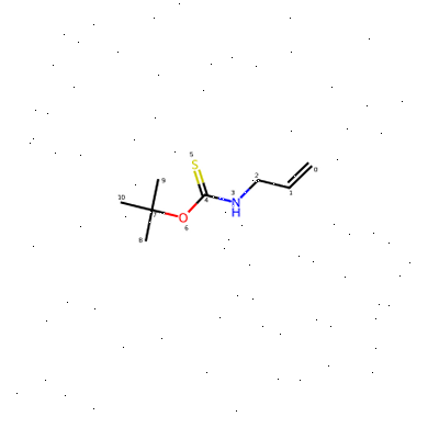 C=CCNC(=S)OC(C)(C)C